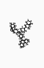 c1ccc2cc(-c3ccc(N(c4ccc(-c5cc6ccccc6c6ccccc56)cc4)c4ccc5oc6ccccc6c5c4)cc3)ccc2c1